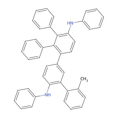 Cc1ccccc1-c1cc(-c2ccc(Nc3ccccc3)c(-c3ccccc3)c2-c2ccccc2)ccc1Nc1ccccc1